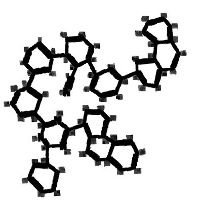 N#Cc1c(-c2cccc(-c3cccc(-c4nc(-c5ccccc5)nc(-c5cccc6c5ccc5ccccc56)n4)c3)c2)cccc1-c1cccc(-c2ccc3ccc4ccccc4c3c2)c1